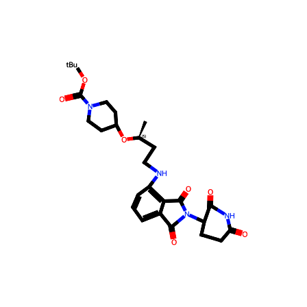 C[C@@H](CCNc1cccc2c1C(=O)N(C1CCC(=O)NC1=O)C2=O)OC1CCN(C(=O)OC(C)(C)C)CC1